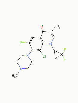 Cc1cn(C2CC2(F)F)c2c(Cl)c(N3CCN(C)CC3)c(F)cc2c1=O